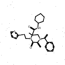 C=C1C(=O)N(CCc2cccs2)C(C)(C(=O)NC2CCCCC2)CN1C(=C)c1ccccc1